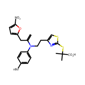 C=C(Cc1ccc([N+](=O)[O-])o1)N(CCc1csc(SC(C)(C)C(=O)O)n1)c1ccc(CCCC)cc1